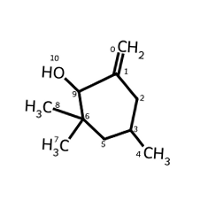 C=C1CC(C)CC(C)(C)C1O